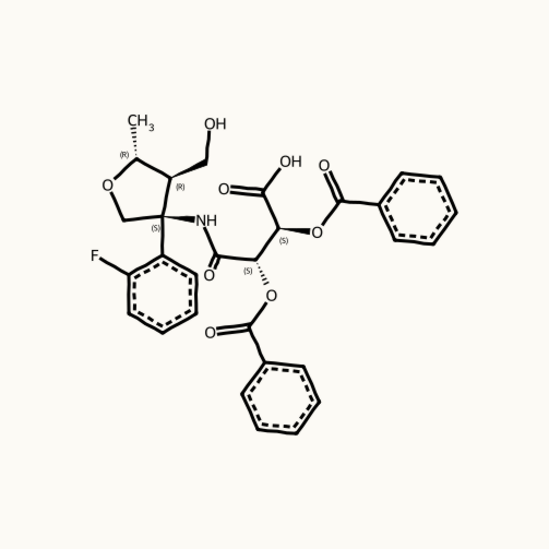 C[C@H]1OC[C@@](NC(=O)[C@@H](OC(=O)c2ccccc2)[C@H](OC(=O)c2ccccc2)C(=O)O)(c2ccccc2F)[C@@H]1CO